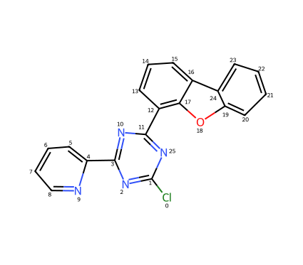 Clc1nc(-c2ccccn2)nc(-c2cccc3c2oc2ccccc23)n1